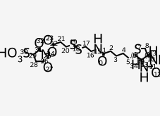 O=C(CCCC[C@@H]1SC[C@@H]2NC(=O)N[C@@H]21)NCCSSCCC(=O)ON1C(=O)CC(S(=O)(=O)O)C1=O